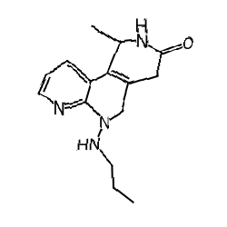 CCCNN1CC2=C(c3cccnc31)C(C)NC(=O)C2